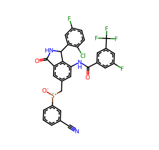 N#Cc1cccc([S+]([O-])Cc2cc(NC(=O)c3cc(F)cc(C(F)(F)F)c3)c3c(c2)C(=O)NC3c2cc(F)ccc2Cl)c1